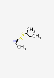 C/C=C\SSC(C)CC